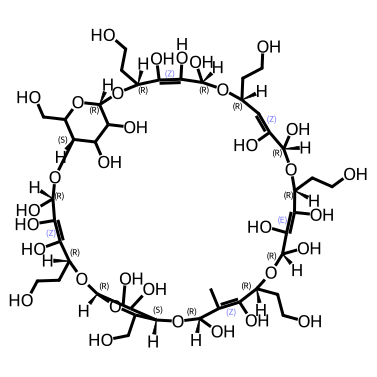 C/C1=C(/O)[C@@H](CCO)O[C@@H](O)/C(O)=C(\O)[C@@H](CCO)O[C@@H](O)/C(O)=C/[C@@H](CCO)O[C@@H](O)/C(O)=C(/O)[C@@H](CCO)O[C@H]2OC(CO)[C@@H](O[C@@H](O)/C(O)=C(/O)[C@@H](CCO)O[C@H]3OC(CO)[C@@H](O[C@H]1O)C(O)C3O)C(O)C2O